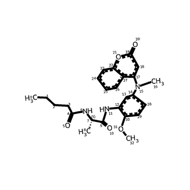 CCCCC(=O)N[C@@H](C)C(=O)Nc1cc(N(C)c2cc(=O)oc3ccccc23)ccc1OC